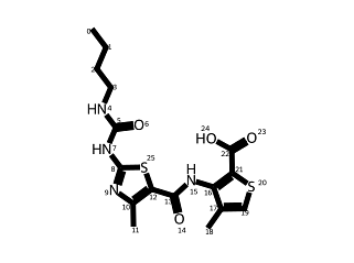 CCCCNC(=O)Nc1nc(C)c(C(=O)Nc2c(C)csc2C(=O)O)s1